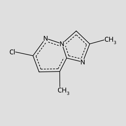 Cc1cn2nc(Cl)cc(C)c2n1